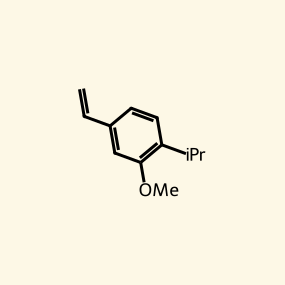 C=Cc1ccc(C(C)C)c(OC)c1